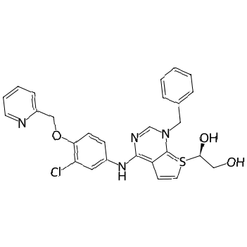 OC[C@H](O)S1=C2C(=C(Nc3ccc(OCc4ccccn4)c(Cl)c3)N=CN2Cc2ccccc2)C=C1